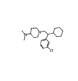 CN(C)C1CCN(CC(c2cccc(Cl)c2)C2CCCCC2)CC1